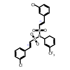 O=S(=O)(/C=C/c1cccc(Cl)c1)N(C1C=C(C(F)(F)F)C=CC1)S(=O)(=O)/C=C/c1cccc(Cl)c1